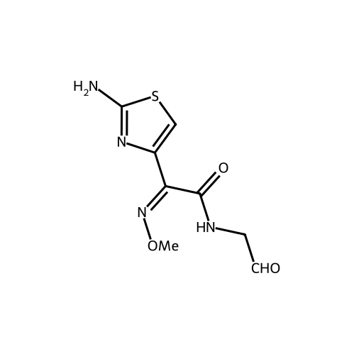 CO/N=C(\C(=O)NCC=O)c1csc(N)n1